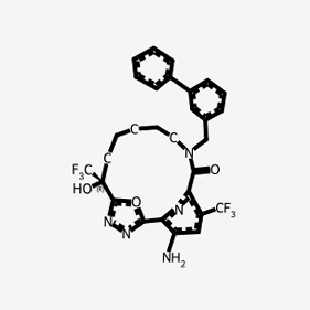 Nc1cc(C(F)(F)F)c2nc1-c1nnc(o1)[C@@](O)(C(F)(F)F)CCCCCN(Cc1cccc(-c3ccccc3)c1)C2=O